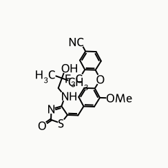 COc1cc(C=C2SC(=O)N=C2NCC(C)(C)O)ccc1Oc1ccc(C#N)cc1C(F)(F)F